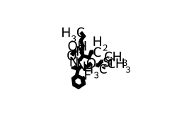 C=CCC(c1ncc(-c2ccccc2F)n1COCC[Si](C)(C)C)N(CCCC)C(=O)O